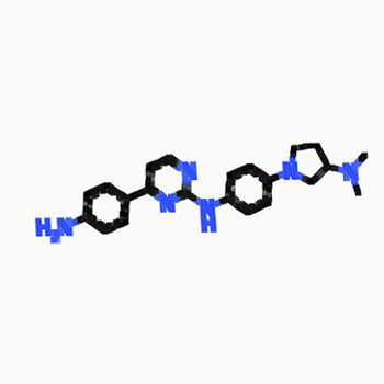 CN(C)C1CCN(c2ccc(Nc3nccc(-c4ccc(N)cc4)n3)cc2)C1